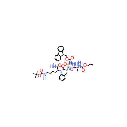 C=CCOC(=O)N[C@@H](C)C(=O)NN(C(=O)OCC1c2ccccc2-c2ccccc21)[S+]([O-])N[C@H](Cc1ccccc1)C(=O)N[C@@H](CCCCNC(=O)OC(C)(C)C)C(=O)NC